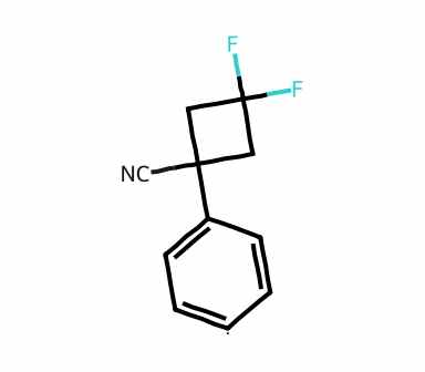 N#CC1(c2cc[c]cc2)CC(F)(F)C1